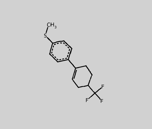 CSc1ccc(C2=CCC(C(F)(F)F)CC2)cc1